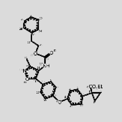 CCOC(=O)C1(c2ccc(Oc3ccc(-c4onc(C)c4NC(=O)OCCc4ccccc4)cc3)cc2)CC1